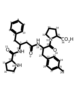 O=C(CC(Cc1ccccc1)NC(=O)C1CCCN1)NC(Cc1ccc(I)cc1)C(=O)N1CCCC1C(=O)O